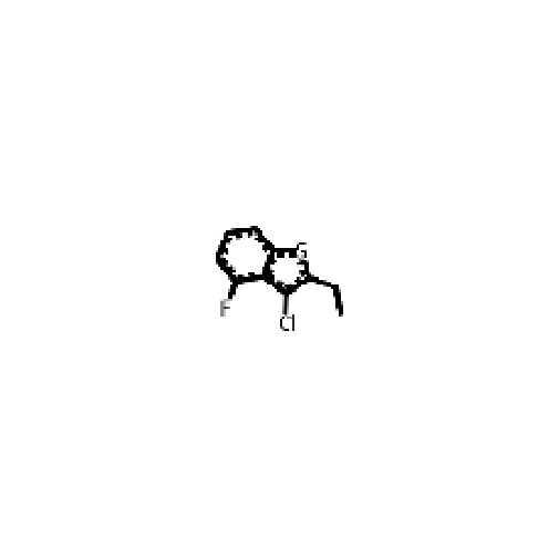 CCc1sc2cccc(F)c2c1Cl